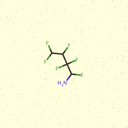 NC(F)C(F)(F)C(F)C(F)F